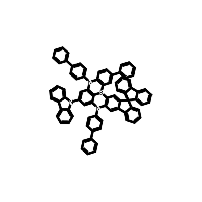 c1ccc(-c2ccc(N3c4ccc(-c5ccccc5)cc4B4c5cc6c(cc5N(c5ccc(-c7ccccc7)cc5)c5cc(-n7c8ccccc8c8ccccc87)cc3c54)-c3ccccc3C63c4ccccc4-c4ccccc43)cc2)cc1